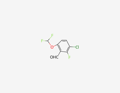 O=Cc1c(OC(F)F)ccc(Cl)c1F